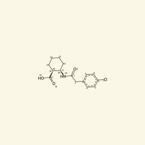 O=C(Cc1ccc(Cl)cc1)N[C@@H]1CCCC[C@@H]1C(=O)O